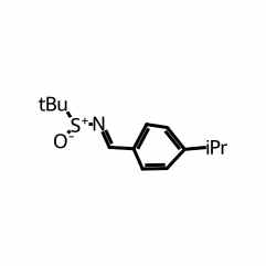 CC(C)c1ccc(/C=N/[S+]([O-])C(C)(C)C)cc1